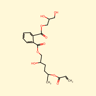 C=CC(=O)OC(C)CCC(O)COC(=O)c1ccccc1C(=O)OCC(O)CO